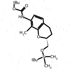 Cc1c(NC(=O)OC(C)(C)C)ccc2c1O[C@@H](CO[Si](C)(C)C(C)(C)C)CC2